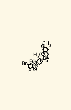 COc1ccc(Cc2csc(N3CCN(S(=O)(=O)c4c(F)c(Br)cc(F)c4Br)CC3)n2)c(OC)c1